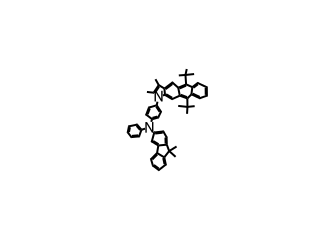 Cc1c(C)n(-c2ccc(N(c3ccccc3)c3ccc4c(c3)-c3ccccc3C4(C)C)cc2)c2cc3c(C(C)(C)C)c4ccccc4c(C(C)(C)C)c3cc12